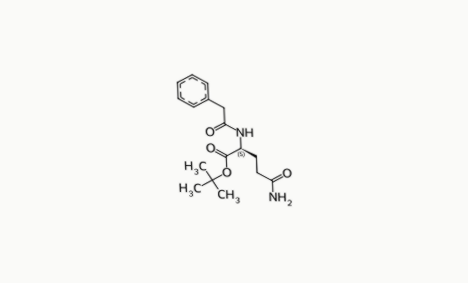 CC(C)(C)OC(=O)[C@H](CCC(N)=O)NC(=O)Cc1ccccc1